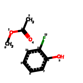 COC(C)=O.Oc1ccccc1F